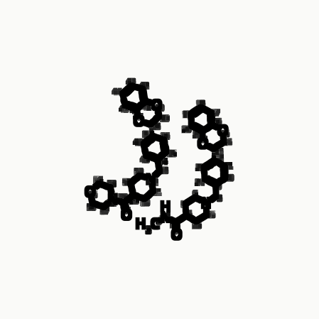 CNC(=O)C1CCN(Cc2ccc([C@H]3COc4ccccc4O3)cc2)CC1.O=C(C1CCN(Cc2ccc([C@H]3COc4ccccc4O3)cc2)CC1)N1CCOCC1